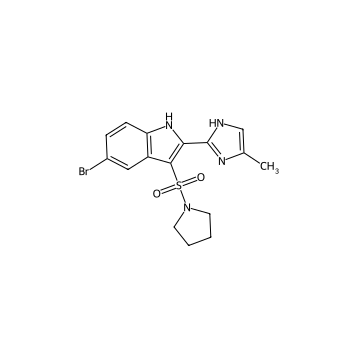 Cc1c[nH]c(-c2[nH]c3ccc(Br)cc3c2S(=O)(=O)N2CCCC2)n1